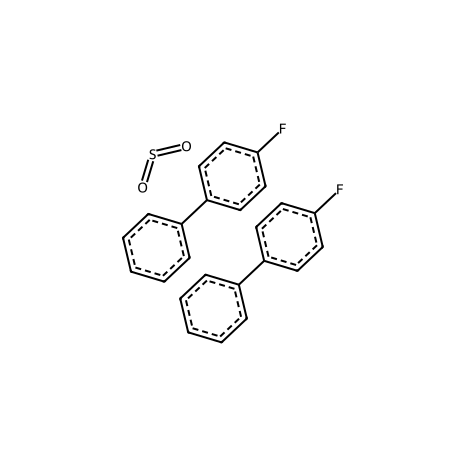 Fc1ccc(-c2ccccc2)cc1.Fc1ccc(-c2ccccc2)cc1.O=S=O